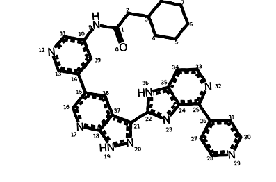 O=C(CC1CCCCC1)Nc1cncc(-c2cnc3[nH]nc(-c4nc5c(-c6ccncc6)nccc5[nH]4)c3c2)c1